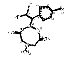 CN1CC(=O)OB(C(c2ccc(Br)cc2)C(F)F)OC(=O)C1